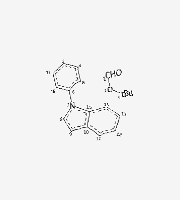 CC(C)(C)OC=O.c1ccc(-n2ccc3ccccc32)cc1